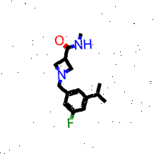 CNC(=O)C1CN(Cc2cc(F)cc(C(C)C)c2)C1